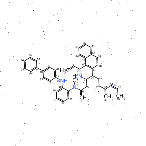 C=CC1=NC(CC(=C)N(C)c2ccccc2Nc2ccc(-c3ccccc3)cc2)C(CCC(=C)/C=C\C)c2ccc3ccccc3c21